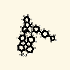 CC(C)(C)c1ccc2c(c1)C1(c3ccccc3-c3ccc(N(c4cccc(-c5ccc(C6CCC6)cc5)c4)c4cccc5c4C(C)(C)c4ccccc4-5)cc31)c1cc(C(C)(C)C)ccc1-2